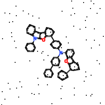 c1ccc(-c2ccc(N(c3ccc(-c4cccc5c4oc4c5c5ccccc5n4-c4ccccc4)cc3)c3cccc4c3oc3c(-c5ccccc5)cccc34)cc2)cc1